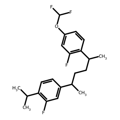 CC(C)c1ccc(C(C)CCC(C)c2ccc(OC(F)F)cc2F)cc1F